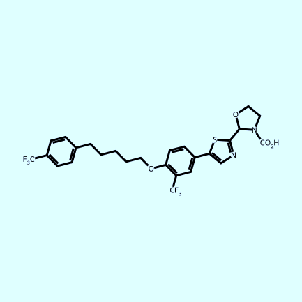 O=C(O)N1CCOC1c1ncc(-c2ccc(OCCCCCc3ccc(C(F)(F)F)cc3)c(C(F)(F)F)c2)s1